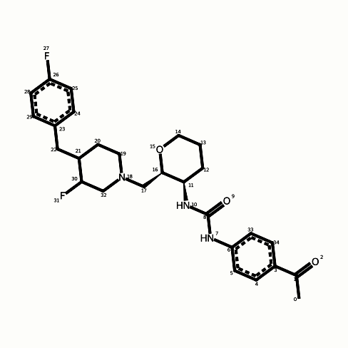 CC(=O)c1ccc(NC(=O)N[C@@H]2CCCO[C@@H]2CN2CCC(Cc3ccc(F)cc3)C(F)C2)cc1